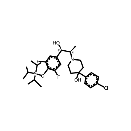 CC(C)[Si](Oc1c(F)cc([C@@H](O)[C@@H](C)N2CCC(O)(c3ccc(Cl)cc3)CC2)cc1F)(C(C)C)C(C)C